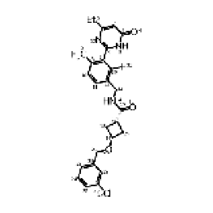 CCc1cc(=O)[nH]c(-c2c(C(F)(F)F)ccc(CNC(=O)[C@H]3C[C@H](OCc4cccc(Cl)c4)C3)c2F)n1